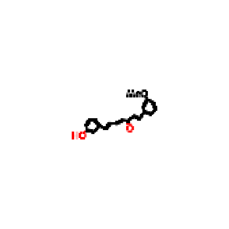 COc1cccc(C=CC(=O)C=CC=Cc2cccc(O)c2)c1